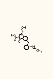 CCCNc1ccccc1Cc1ccc2c(c1)c(=O)c(C(=O)O)cn2CCO